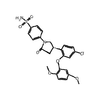 COc1ccc(OC)c(Oc2cc(Cl)ccc2[C@H]2CC(=O)N(c3ccc(S(N)(=O)=O)cc3)C2)c1